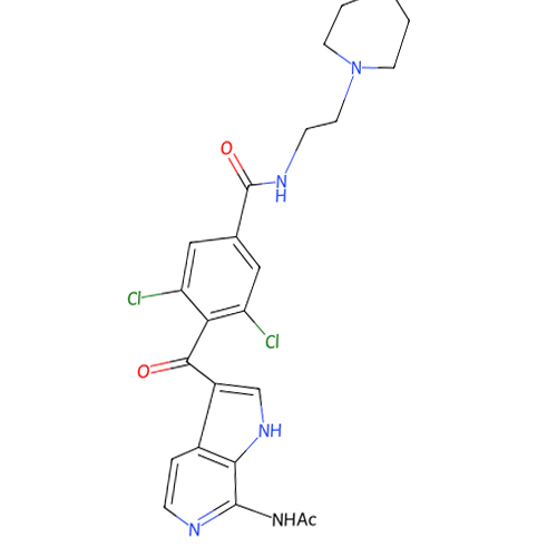 CC(=O)Nc1nccc2c(C(=O)c3c(Cl)cc(C(=O)NCCN4CCCCC4)cc3Cl)c[nH]c12